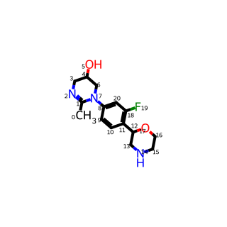 CC1=NCC(O)CN1c1ccc(C2CNCCO2)c(F)c1